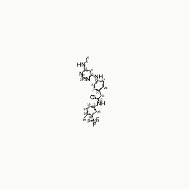 CCNc1cc(Nc2ccc(CC(=O)Nc3ccc(C)c(C(F)(F)F)c3)cc2)ncn1